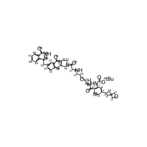 CC(C)(C)OC(=O)Nc1cc(C2CC3(COC3)C2)cnc1C(=O)NCCOCCNCC(=O)N1CCN(C(=O)c2cc(Cc3n[nH]c(=O)c4ccccc34)ccc2F)CC1